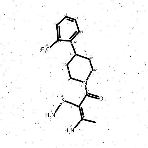 C/C(N)=C(/SN)C(=O)N1CCC(c2ccccc2C(F)(F)F)CC1